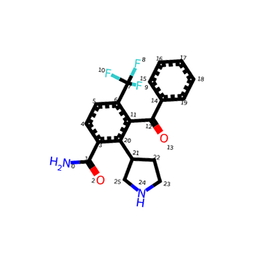 NC(=O)c1ccc(C(F)(F)F)c(C(=O)c2ccccc2)c1C1CCNC1